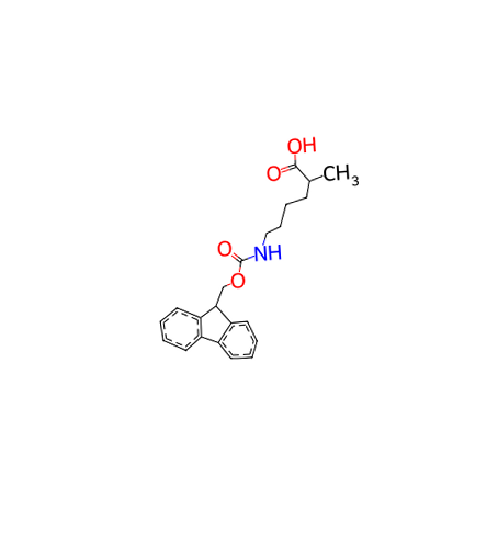 CC(CCCCNC(=O)OCC1c2ccccc2-c2ccccc21)C(=O)O